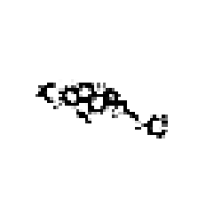 C=C(C)[C@H]1C[C@@]2(C)[C@@H](CC[C@@]2(O)CCCOC2CCCOC2)[C@@H]2CC[C@@]3(O)CC4(CCC3=C12)OCC(C)(C)CO4